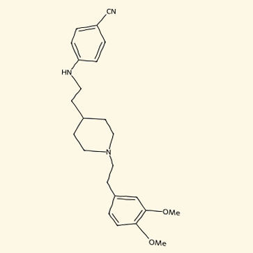 COc1ccc(CCN2CCC(CCNc3ccc(C#N)cc3)CC2)cc1OC